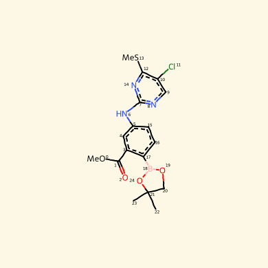 COC(=O)c1cc(Nc2ncc(Cl)c(SC)n2)ccc1B1OCC(C)(C)O1